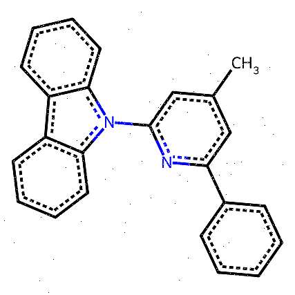 Cc1cc(-c2ccccc2)nc(-n2c3ccccc3c3ccccc32)c1